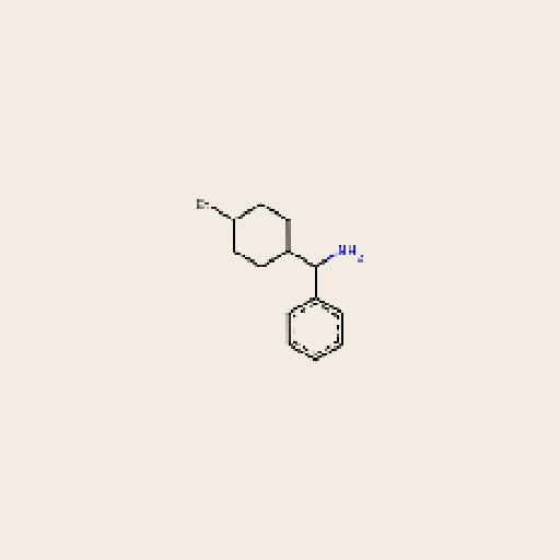 CCC1CCC(C(N)c2ccccc2)CC1